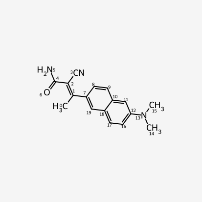 C/C(=C(/C#N)C(N)=O)c1ccc2cc(N(C)C)ccc2c1